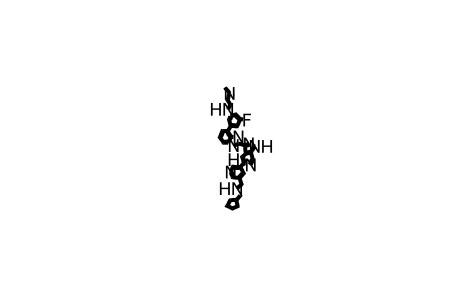 CN(C)CCNc1cc(F)cc(-c2cccc3[nH]c(-c4n[nH]c5cnc(-c6cncc(CNCC7CCCC7)c6)cc45)nc23)c1